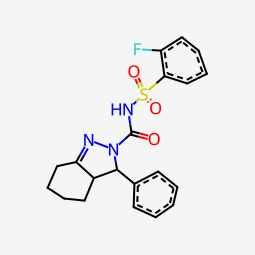 O=C(NS(=O)(=O)c1ccccc1F)N1N=C2CCCCC2C1c1ccccc1